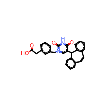 O=C(O)Cc1cccc(Cn2cc(C3c4ccccc4C=Cc4ccccc43)c(=O)[nH]c2=O)c1